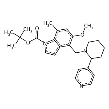 COc1cc(C)c2c(ccn2C(=O)OC(C)(C)C)c1CN1CCCCC1c1ccncc1